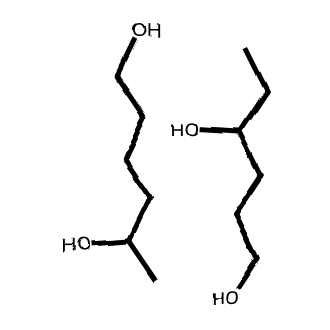 CC(O)CCCCO.CCC(O)CCCO